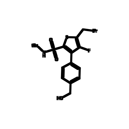 CC(C)Cc1sc(S(=O)(=O)NC(C)(C)C)c(-c2ccc(CO)cc2)c1F